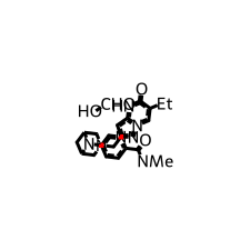 CCc1cn2nc(CN3CC4CC(C3)N4c3ccc(C(=O)NC)nc3)cc2[nH]c1=O.O=CO